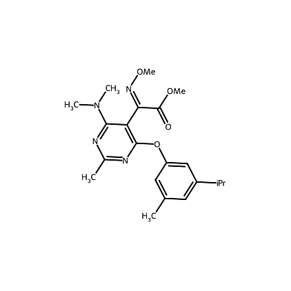 CON=C(C(=O)OC)c1c(Oc2cc(C)cc(C(C)C)c2)nc(C)nc1N(C)C